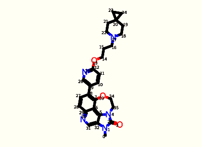 Cn1c(=O)n2c3c4c(c(-c5ccc(OCCCN6CCC7(CC6)CC7)nc5)ccc4ncc31)OCC2